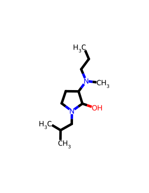 CCCN(C)C1CCN(CC(C)C)C1O